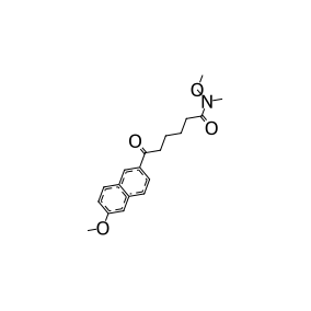 COc1ccc2cc(C(=O)CCCCC(=O)N(C)OC)ccc2c1